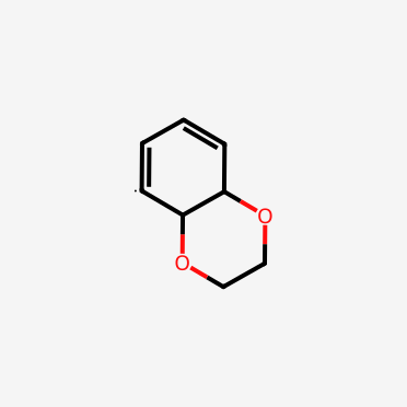 [C]1=CC=CC2OCCOC12